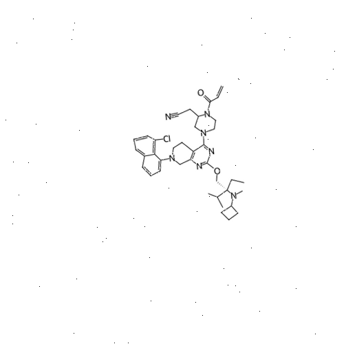 C=CC(=O)N1CCN(c2nc(OC[C@@](CC)(C(C)C)N(C)C3CCC3)nc3c2CCN(c2cccc4cccc(Cl)c24)C3)CC1CC#N